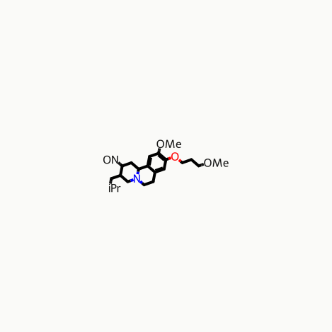 COCCCOc1cc2c(cc1OC)C1CC(N=O)C(CC(C)C)CN1CC2